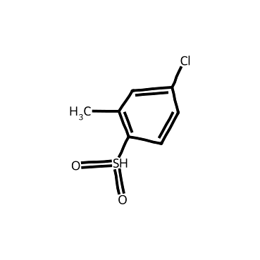 Cc1cc(Cl)ccc1[SH](=O)=O